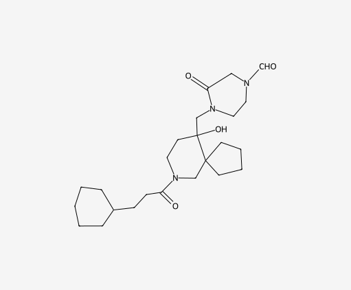 O=CN1CCN(CC2(O)CCN(C(=O)CCC3CCCCC3)CC23CCCC3)C(=O)C1